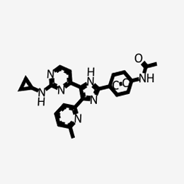 CC(=O)NC12CCC(c3nc(-c4cccc(C)n4)c(-c4ccnc(NC5CC5)n4)[nH]3)(CC1)CC2